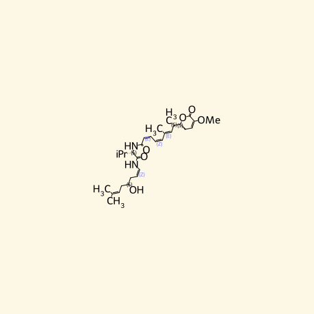 COC1=CC[C@@H]([C@@H](C)/C=C(C)/C=C\C=C/C(=O)N[C@H](C(=O)N/C=C\C[C@@H](O)CC=C(C)C)C(C)C)OC1=O